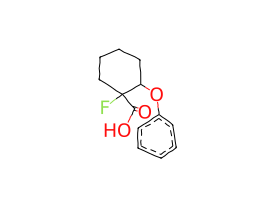 O=C(O)C1(F)CCCCC1Oc1ccccc1